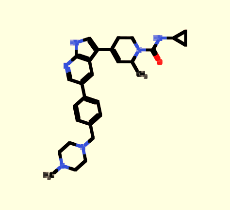 CC1C=C(c2c[nH]c3ncc(-c4ccc(CN5CCN(C)CC5)cc4)cc23)CCN1C(=O)NC1CC1